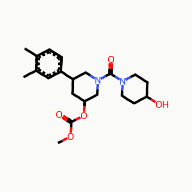 COC(=O)OC1CC(c2ccc(C)c(C)c2)CN(C(=O)N2CCC(O)CC2)C1